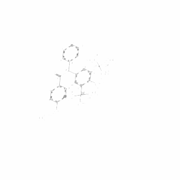 COc1ccc(C(=O)C(c2ccccc2)c2cc(C(C)(C)C)c(O)c(C(C)(C)C)c2)cc1